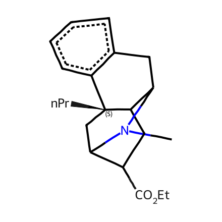 CCC[C@]12CC3C(C(=O)OCC)CC1C(Cc1ccccc12)N3C